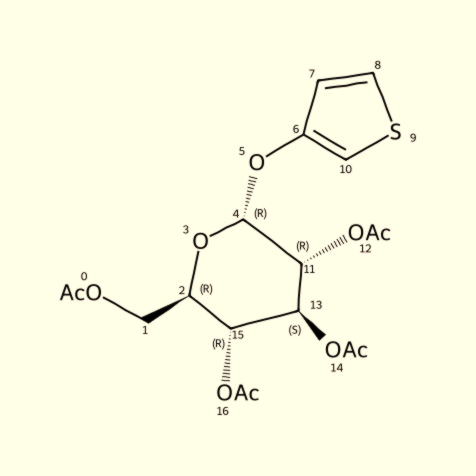 CC(=O)OC[C@H]1O[C@H](Oc2ccsc2)[C@H](OC(C)=O)[C@@H](OC(C)=O)[C@@H]1OC(C)=O